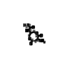 BC(=O)NC1COC(=O)CC(N)C(=O)OC1